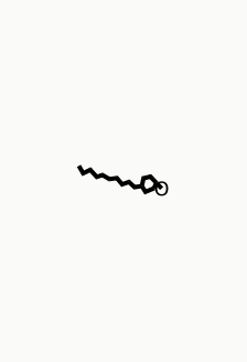 CCCCCCCCCCC1CCC2OC2C1